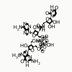 COC[C@H]1[C@@H](O)[C@H](n2c[n+](C)c3c(=O)[nH]c(N)nc32)O[C@@H]1COP(=O)([O-])OP(=O)(O)OP(=O)(O)OC[C@H]1O[C@@H](n2cnc3c(N)ncnc32)[C@H](OC)[C@@H]1CC(=O)NC[C@H]1O[C@@H](n2ccc(=O)[nH]c2=O)[C@H](O)[C@@H]1O